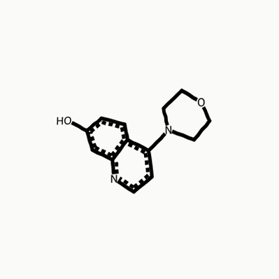 Oc1ccc2c(N3CCOCC3)ccnc2c1